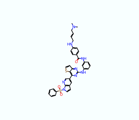 CN(C)C/C=C/CNc1ccc(C(=O)Nc2cccc(Nc3nc(-c4cnc5c(ccn5S(=O)(=O)c5ccccc5)c4)c4sccc4n3)c2)cc1